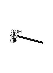 CCCCCCCCCCCCCCN1c2ccoc2N(C)C1C(=O)O